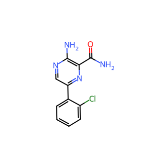 NC(=O)c1nc(-c2ccccc2Cl)cnc1N